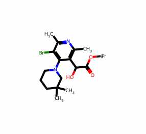 Cc1nc(C)c(C(O)C(=O)OC(C)C)c(N2CCCC(C)(C)C2)c1Br